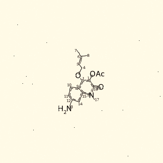 CC(=O)Oc1c(OCC=C(C)C)c2ccc(N)cc2n(C)c1=O